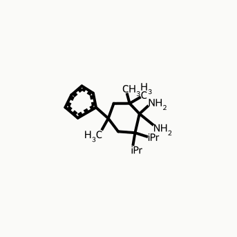 CC(C)C1(C(C)C)CC(C)(c2ccccc2)CC(C)(C)C1(N)N